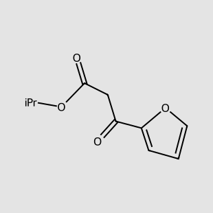 CC(C)OC(=O)CC(=O)c1ccco1